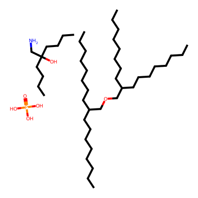 CCCCC(O)(CN)CCCC.CCCCCCCCC(CCCCCCCC)COCC(CCCCCCCC)CCCCCCCC.O=P(O)(O)O